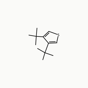 CC(C)(C)c1[c]scc1C(C)(C)C